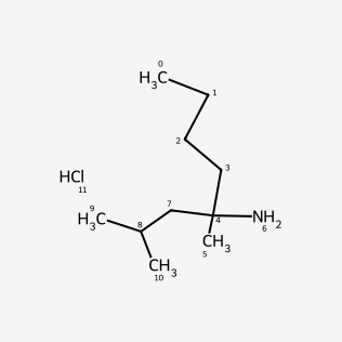 CCCCC(C)(N)CC(C)C.Cl